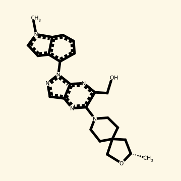 C[C@H]1CC2(CCN(c3nc4cnn(-c5cccc6c5ccn6C)c4nc3CO)CC2)CO1